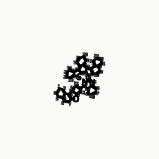 c1ccc2c(c1)ccc1oc3cc(-c4nc(-n5c6ccc7ccccc7c6c6c7ccccc7c7c8ccccc8sc7c65)nc5ccccc45)ccc3c12